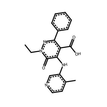 CCn1nc(-c2ccccc2)c(C(=O)O)c(Nc2cnccc2C)c1=O